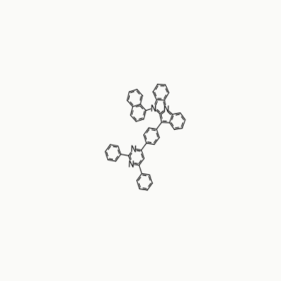 c1ccc(-c2cc(-c3ccc(-c4c5ccccc5n5c6ccccc6n(-c6cccc7ccccc67)c45)cc3)nc(-c3ccccc3)n2)cc1